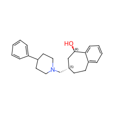 O[C@@H]1C[C@@H](CN2CCC(c3ccccc3)CC2)CCc2ccccc21